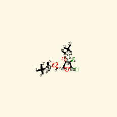 CC(C)(C)[Si](C)(C)OC[C@H]1O[C@@H](Cl)C(F)C1O[Si](C)(C)C(C)(C)C